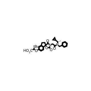 C[C@@H](C1CC1)N(Cc1ccccc1)C(=O)CN1C(=O)OC2(CCc3cc(OC(C(=O)O)C(C)(C)C)ccc32)C1=O